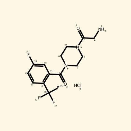 Cl.NCC(=O)N1CCN(C(=O)c2cc(F)ccc2C(F)(F)F)CC1